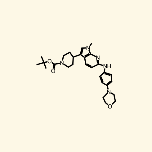 Cn1cc(C2CCN(C(=O)OC(C)(C)C)CC2)c2ccc(Nc3ccc(N4CCOCC4)cc3)nc21